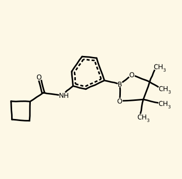 CC1(C)OB(c2cccc(NC(=O)C3CCC3)c2)OC1(C)C